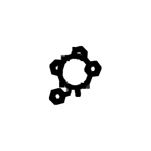 O=C1NCc2cccc(c2)-c2ccnc(n2)Nc2cccc(c2)CN[C@H]1Cc1ccccc1